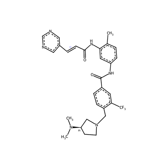 Cc1ccc(NC(=O)c2ccc(CN3CC[C@@H](N(C)C)C3)c(C(F)(F)F)c2)cc1NC(=O)/C=C/c1cncnc1